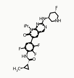 CC(C)n1c(=O)c(-c2cc(F)c(NC(=O)[C@@H]3C[C@H]3C)c(F)c2F)cc2cnc(N[C@@H]3CNC[C@@H](F)C3)nc21